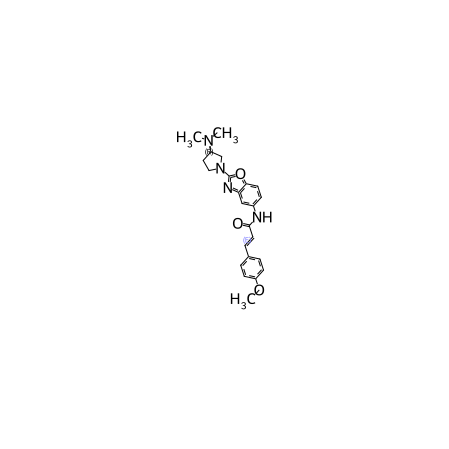 COc1ccc(/C=C/C(=O)Nc2ccc3oc(N4CC[C@@H](N(C)C)C4)nc3c2)cc1